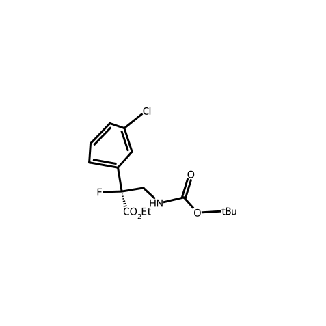 CCOC(=O)[C@@](F)(CNC(=O)OC(C)(C)C)c1cccc(Cl)c1